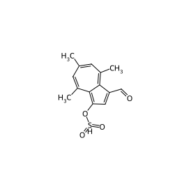 Cc1cc(C)c2c(C=O)cc(O[SH](=O)=O)c-2c(C)c1